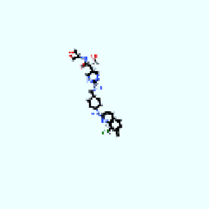 Cc1ccc2ccc(NC3CCC(CNc4ncc([C@H](CO)C(=O)NC5COC5)cn4)CC3)nc2c1Cl